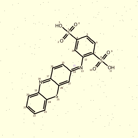 O=S(=O)(O)c1ccc(S(=O)(=O)O)c(/N=c2\ccc3nc4ccccc4sc-3c2)c1